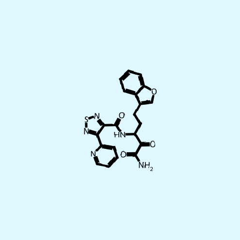 NC(=O)C(=O)C(CCc1coc2ccccc12)NC(=O)c1nsnc1-c1ccccn1